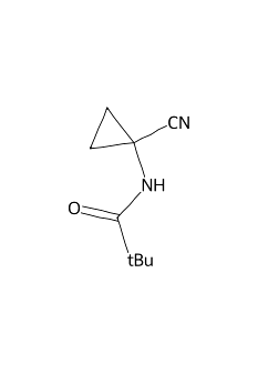 CC(C)(C)C(=O)NC1(C#N)CC1